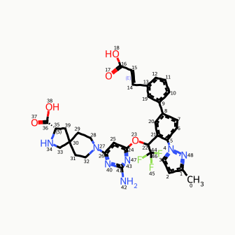 Cc1ccn(-c2ccc(-c3cccc(/C=C/C(=O)O)c3)cc2C(Oc2cc(N3CCC4(CC3)CN[C@H](C(=O)O)C4)nc(N)n2)C(F)(F)F)n1